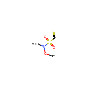 CON(OC(C)C)S(=O)(=O)C=S